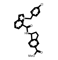 COC(=O)c1ccc2c(c1)CCC2NC(=O)c1cccc2ccn(Cc3ccc(Cl)cc3)c12